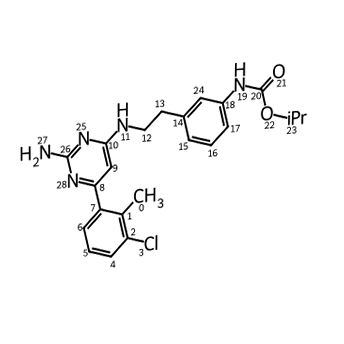 Cc1c(Cl)cccc1-c1cc(NCCc2cccc(NC(=O)OC(C)C)c2)nc(N)n1